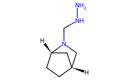 NNCN1C[C@@H]2CC[C@H]1C2